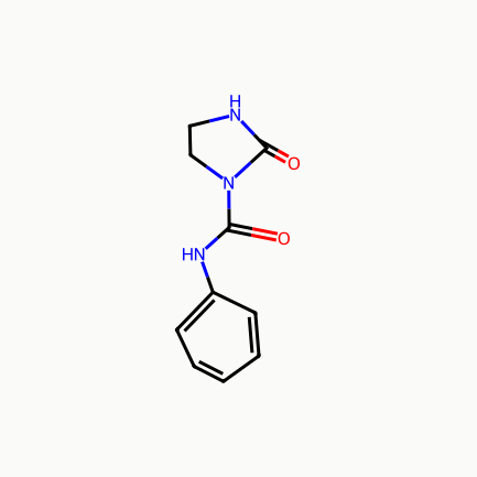 O=C1NCCN1C(=O)Nc1ccccc1